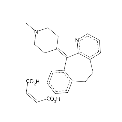 CN1CCC(=C2c3ccccc3CCc3cccnc32)CC1.O=C(O)/C=C\C(=O)O